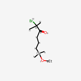 CCO[Si](C)(C)CCCC(=O)C(C)(C)Br